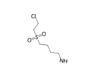 [NH]CCCCS(=O)(=O)CCCl